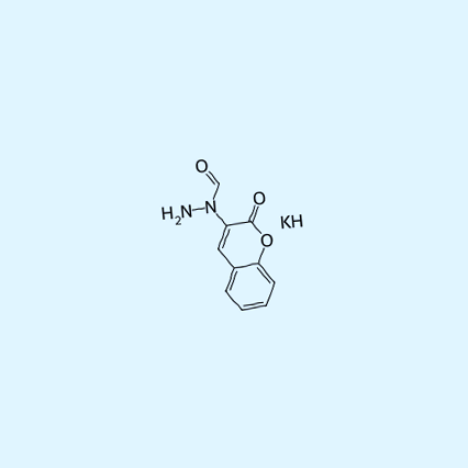 NN(C=O)c1cc2ccccc2oc1=O.[KH]